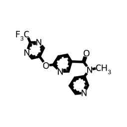 CN(C(=O)c1ccc(Oc2cnc(C(F)(F)F)nc2)nc1)c1cccnc1